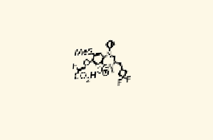 CSc1cc2c(cc1O/C=C(\F)C(=O)O)S(=O)(=O)N(C)C(CC1CC(F)(F)C1)CN2C12CC(C1)C2